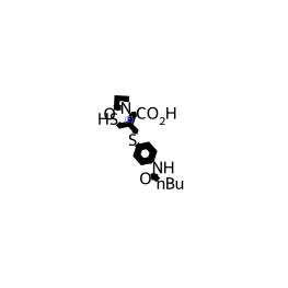 CCCCC(=O)Nc1ccc(SC/C(CS)=C(\C(=O)O)N2CCC2=O)cc1